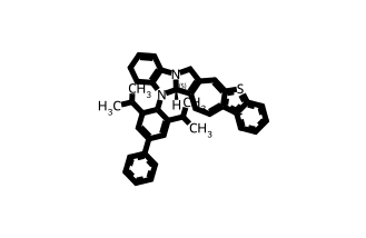 CC(C)C1=CC(c2ccccc2)=CC(C(C)C)C1N1C2=C(C=CCC2)N2CC3=C(CC=c4c(sc5ccccc45)=C3)[C@@H]21